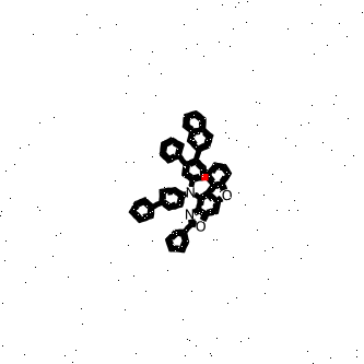 c1ccc(-c2ccc(N(c3ccc(-c4ccc5ccccc5c4)c(-c4ccccc4)c3)c3c4nc(-c5ccccc5)oc4cc4oc5ccccc5c34)cc2)cc1